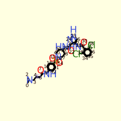 CN(C)C/C=C/C(=O)Nc1ccc(S(=O)(=O)N2CCC(NC(=O)c3n[nH]cc3NC(=O)c3c(Cl)cccc3Cl)CC2)cc1